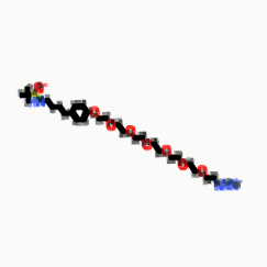 CC(C)(C)[S+]([O-])NCCCCc1ccc(OCCOCCOCCOCCOCCOCCOCCN=[N+]=[N-])cc1